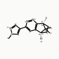 Cn1cc(-c2cc3c(nn2)[C@@]2(C)CC[C@@H]3C2(C)C)cn1